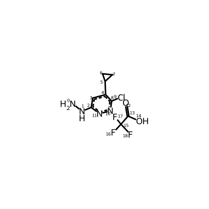 NNc1cc(C2CC2)c(Cl)nn1.O=C(O)C(F)(F)F